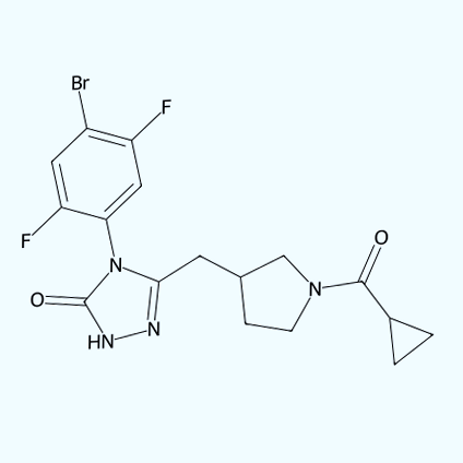 O=C(C1CC1)N1CCC(Cc2n[nH]c(=O)n2-c2cc(F)c(Br)cc2F)C1